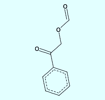 O=COCC(=O)c1ccccc1